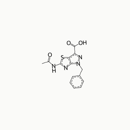 CC(=O)Nc1nc2c(s1)c(C(=O)O)nn2Cc1ccccc1